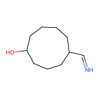 N=CC1CCCCC(O)CCC1